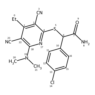 CCc1c(C#N)c(SC(C(N)=O)c2ccc(Cl)cc2)nc(N(C)C)c1C#N